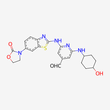 O=Cc1cc(Nc2nc3ccc(N4CCOC4=O)cc3s2)nc(NC2CCC(O)CC2)c1